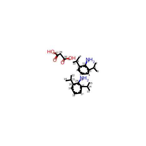 CC(C)c1cccc(C(C)C)c1N.CC(C)c1cccc(C(C)C)c1N.O=C(O)CC(=O)O